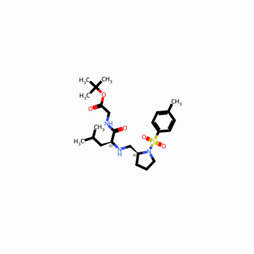 Cc1ccc(S(=O)(=O)N2CCC[C@H]2CN[C@@H](CC(C)C)C(=O)NCC(=O)OC(C)(C)C)cc1